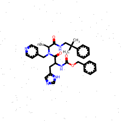 CCCCC(C(=O)NCC(C)(C)c1ccccc1)N(Cc1ccncc1)C(=O)C(Cc1cnc[nH]1)NC(=O)OCc1ccccc1